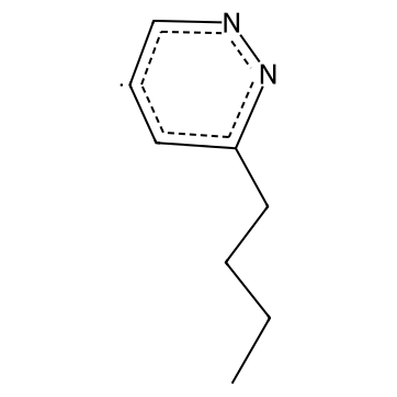 CCCCc1c[c]cnn1